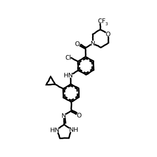 O=C(N=C1NCCN1)c1ccc(Nc2cccc(C(=O)N3CCOC(C(F)(F)F)C3)c2Cl)c(C2CC2)c1